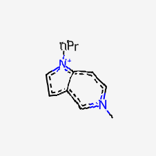 CCC[n+]1ccc2cn(C)ccc1-2